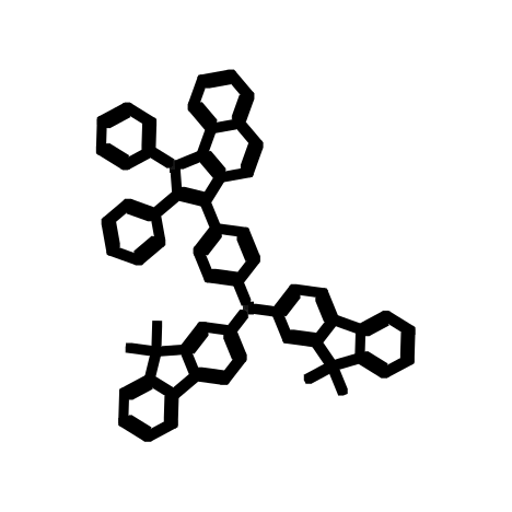 CC1(C)c2ccccc2-c2ccc(N(c3ccc(-c4c(-c5ccccc5)n(-c5ccccc5)c5c4ccc4ccccc45)cc3)c3ccc4c(c3)C(C)(C)c3ccccc3-4)cc21